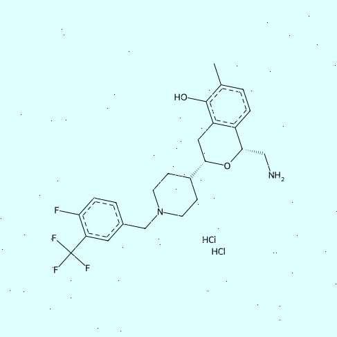 Cc1ccc2c(c1O)C[C@@H](C1CCN(Cc3ccc(F)c(C(F)(F)F)c3)CC1)O[C@H]2CN.Cl.Cl